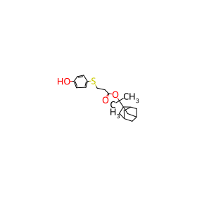 CC(C)(OC(=O)CCSc1ccc(O)cc1)C12CC3CC(CC1C3)C2